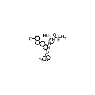 C=C(F)C(=O)N1CCN(c2nc(OC[C@@]34CCCN3C[C@H](F)C4)nc3c2CCC2(CCc4c(Cl)cccc42)C3)C[C@@H]1CC#N